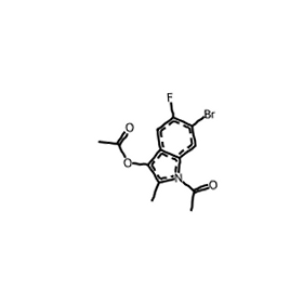 CC(=O)Oc1c(C)n(C(C)=O)c2cc(Br)c(F)cc12